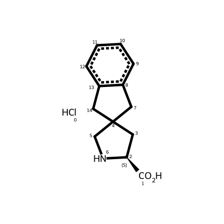 Cl.O=C(O)[C@@H]1CC2(CN1)Cc1ccccc1C2